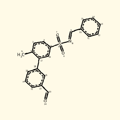 Cc1ccc(S(=O)(=O)/N=C/c2ccccc2)cc1-c1cccc(C=O)c1